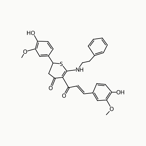 COc1cc(/C=C/C(=O)C2=C(NCCc3ccccc3)SC(c3ccc(O)c(OC)c3)CC2=O)ccc1O